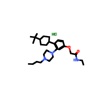 CCCCN1CCN(c2cc(OCC(=O)NCC)ccc2C2CCC(C(C)(C)C)CC2)CC1.Cl